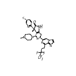 CN1CCN(c2nc(-c3cn4ccnc4c(CCC(F)(F)C(F)(F)F)n3)nc3c2C(C)(c2ccc(F)cn2)C(=O)N3)CC1